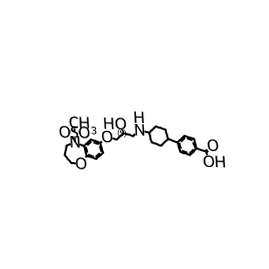 CS(=O)(=O)N1CCCOc2ccc(OC[C@@H](O)CNC3CCC(c4ccc(C(=O)O)cc4)CC3)cc21